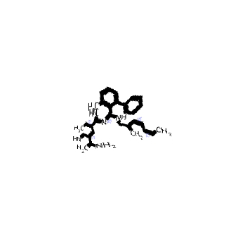 C=C(/C=C\C=C/C)CN/C(=N/C(=N)C(/C=C(\C=N)C(=C)N)=C/C)c1c(C)cccc1-c1ccccc1